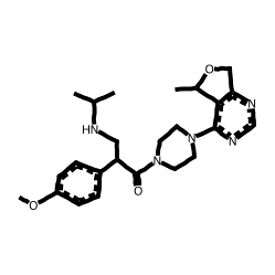 COc1ccc(C(CNC(C)C)C(=O)N2CCN(c3ncnc4c3C(C)OC4)CC2)cc1